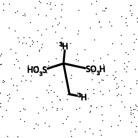 [3H]CC([3H])(S(=O)(=O)O)S(=O)(=O)O